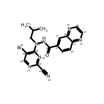 CC(C)CN(NC(=O)c1ccc2nccnc2c1)c1nc(C#N)ncc1Br